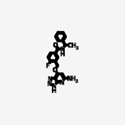 CC(NC(=O)c1ccc(F)c(COc2cc(N)nc3[nH]nnc23)c1)c1ccccc1